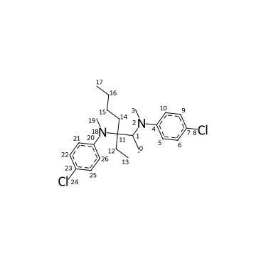 [CH2]C(N(C)c1ccc(Cl)cc1)C(CC)(CCCC)N(C)c1ccc(Cl)cc1